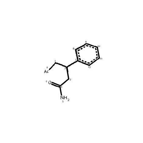 CC(=O)CC(CC(N)=O)c1ccccc1